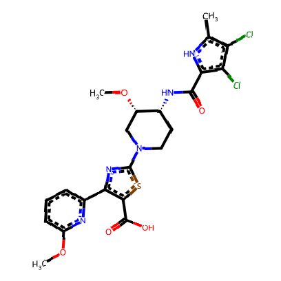 COc1cccc(-c2nc(N3CC[C@@H](NC(=O)c4[nH]c(C)c(Cl)c4Cl)[C@@H](OC)C3)sc2C(=O)O)n1